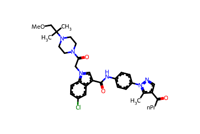 CCCC(=O)c1cnn(-c2ccc(NC(=O)c3cn(CC(=O)N4CCN(C(C)(C)COC)CC4)c4ccc(Cl)cc34)cc2)c1C